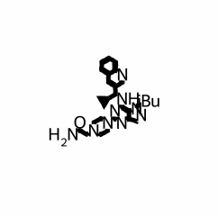 CCC(C)n1ncc2nc(N3CCN(CC(N)=O)CC3)nc(N[C@@H](c3cnc4ccccc4c3)C3CC3)c21